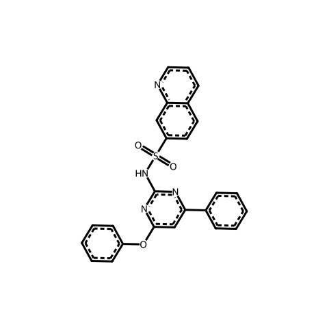 O=S(=O)(Nc1nc(Oc2ccccc2)cc(-c2ccccc2)n1)c1ccc2cccnc2c1